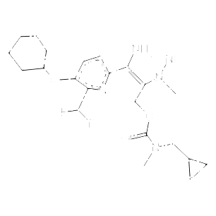 CN(CC1CC1)C(=O)OC/C(=C(/N)c1ccc(OC2CCCCC2)c(C(F)F)n1)N(C)N